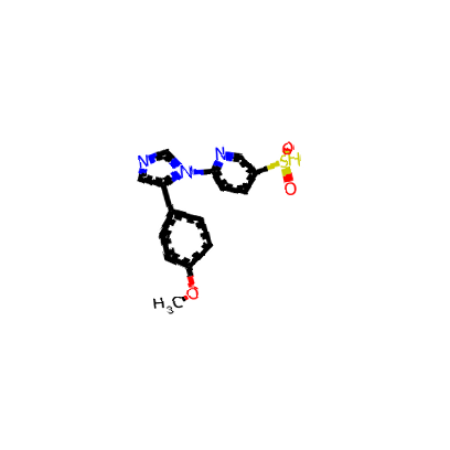 COc1ccc(-c2cncn2-c2ccc([SH](=O)=O)cn2)cc1